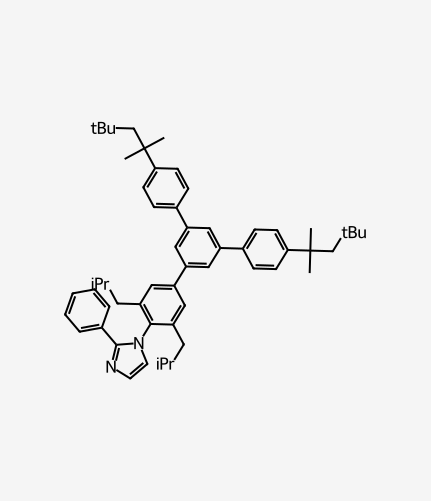 CC(C)Cc1cc(-c2cc(-c3ccc(C(C)(C)CC(C)(C)C)cc3)cc(-c3ccc(C(C)(C)CC(C)(C)C)cc3)c2)cc(CC(C)C)c1-n1ccnc1-c1ccccc1